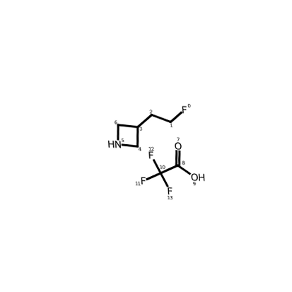 FCCC1CNC1.O=C(O)C(F)(F)F